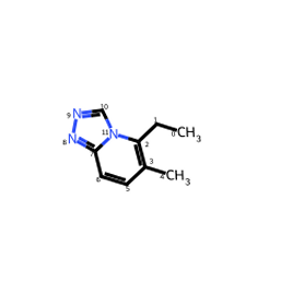 CCc1c(C)ccc2nncn12